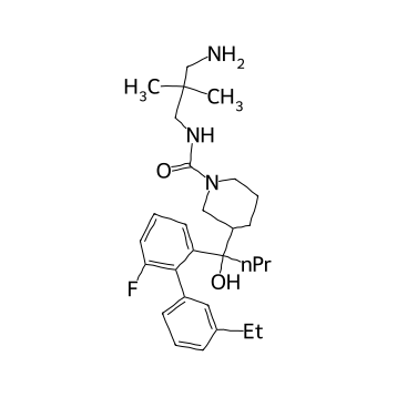 [CH2]CCC(O)(c1cccc(F)c1-c1cccc(CC)c1)C1CCCN(C(=O)NCC(C)(C)CN)C1